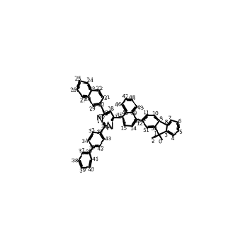 CC1(C)c2ccccc2-c2ccc(-c3ccc(-c4cc(-c5ccc6ccccc6c5)nc(-c5ccc(-c6ccccc6)cc5)n4)c4ccccc34)cc21